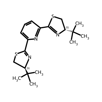 CC(C)(C)[C@H]1CSC(c2cccc(C3=N[C@@H](C(C)(C)C)CS3)n2)=N1